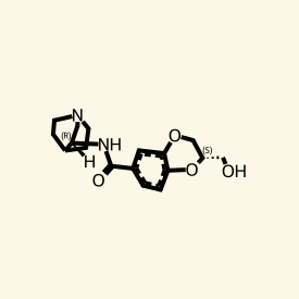 O=C(N[C@H]1CN2CCC1CC2)c1ccc2c(c1)OC[C@H](CO)O2